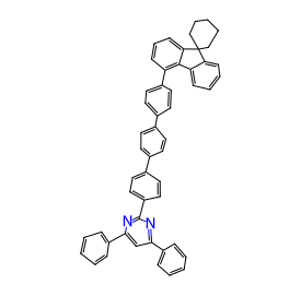 c1ccc(-c2cc(-c3ccccc3)nc(-c3ccc(-c4ccc(-c5ccc(-c6cccc7c6-c6ccccc6C76CCCCC6)cc5)cc4)cc3)n2)cc1